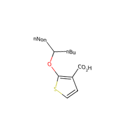 CCCCCCCCCC(CCCC)Oc1sccc1C(=O)O